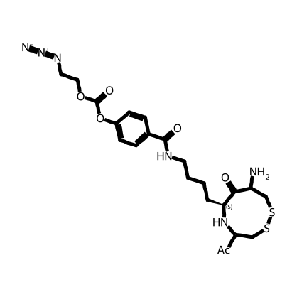 CC(=O)C1CSSCC(N)C(=O)[C@H](CCCCNC(=O)c2ccc(OC(=O)OCCN=[N+]=[N-])cc2)N1